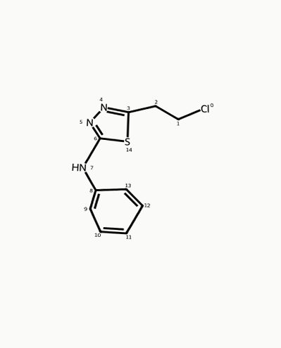 ClCCc1nnc(Nc2ccccc2)s1